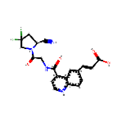 N#C[C@@H]1CC(F)(F)CN1C(=O)CNC(=O)c1ccnc2ccc(/C=C/C(=O)O)cc12